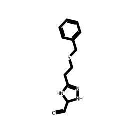 O=CC1NN=C(CCSCc2ccccc2)N1